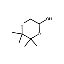 CC1(C)OCC(O)OC1(C)C